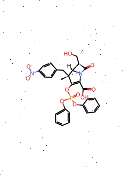 C[C@@H](O)[C@H]1C(=O)N2C(C(=O)O)=C(OP(=O)(Oc3ccccc3)Oc3ccccc3)[C@](C)(Cc3ccc([N+](=O)[O-])cc3)[C@H]12